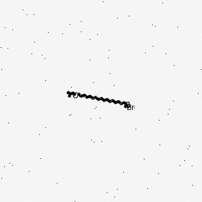 C=C(C)COCCCCCCCCCCCCCCCCC[Si](C)(C)Br